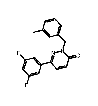 Cc1cccc(Cn2nc(-c3cc(F)cc(F)c3)ccc2=O)c1